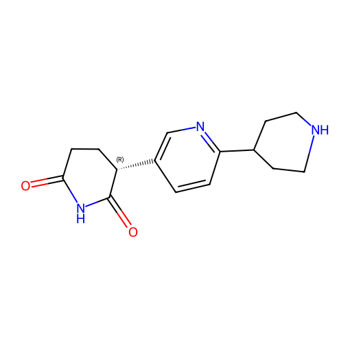 O=C1CC[C@H](c2ccc(C3CCNCC3)nc2)C(=O)N1